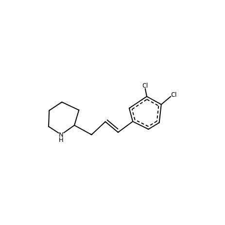 Clc1ccc(/C=C/CC2CCCCN2)cc1Cl